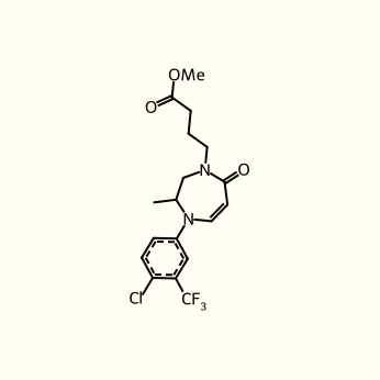 COC(=O)CCCN1CC(C)N(c2ccc(Cl)c(C(F)(F)F)c2)C=CC1=O